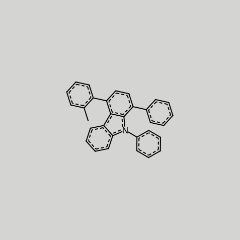 Cc1ccccc1-c1ccc(-c2ccccc2)c2c1c1ccccc1n2-c1ccccc1